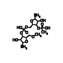 B[C@@H]1O[C@H](COP(=O)(O)OC2[C@@H](COC)O[C@@H](B)[C@H]2O)C(OP(C)(=O)O)[C@@H]1O